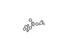 CC1(c2ccc(-c3nc(-c4ccccc4)cc(-c4ccc5c(c4)C4(c6ccccc6Oc6ccccc64)c4ccccc4-5)n3)cc2)CC2CC3C[C@@H](C1)C32